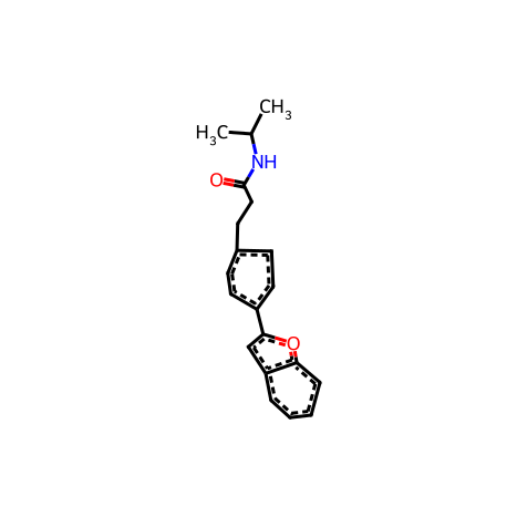 CC(C)NC(=O)CCc1ccc(-c2cc3ccccc3o2)cc1